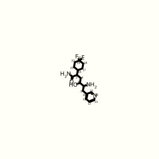 NC(=O)C(CC(O)C(N)Cc1cccnc1)C1CCC(F)(F)CC1